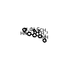 CC1=CC2C1c1c(-c3ccc(Nc4ccccc4)cc3)ccc(-c3ccc(Nc4ccccc4)cc3)c1C2C(C)C(C)C